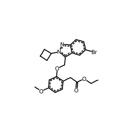 CCOC(=O)Cc1ccc(OC)cc1OCc1c2cc(Br)ccc2nn1C1CCC1